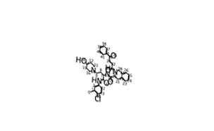 Cc1cc(NC(=O)C(CCN2CCC(O)CC2)NC(=O)[C@@H]2Cc3ccccc3CN2C(=O)CCC(=O)c2ccccc2)ccc1Cl